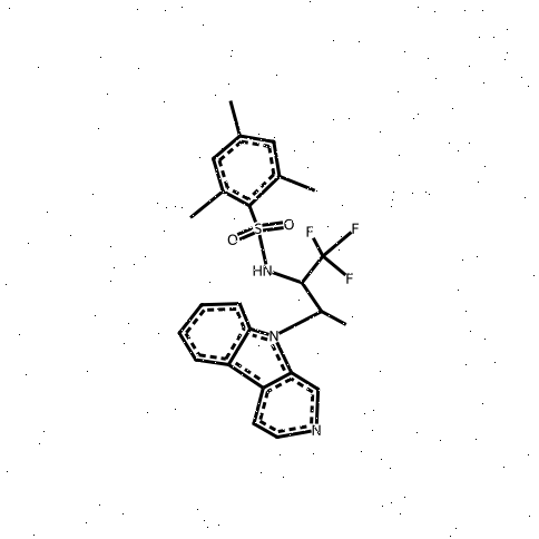 Cc1cc(C)c(S(=O)(=O)NC(C(C)n2c3ccccc3c3ccncc32)C(F)(F)F)c(C)c1